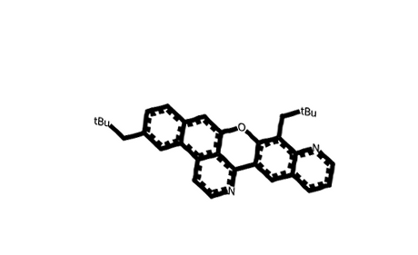 CC(C)(C)Cc1ccc2cc3c4c(nccc4c2c1)-c1cc2cccnc2c(CC(C)(C)C)c1O3